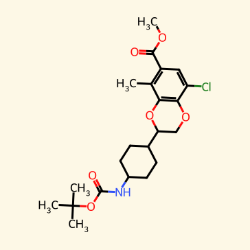 COC(=O)c1cc(Cl)c2c(c1C)OC(C1CCC(NC(=O)OC(C)(C)C)CC1)CO2